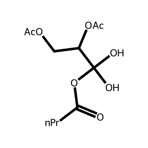 CCCC(=O)OC(O)(O)C(COC(C)=O)OC(C)=O